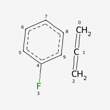 C=C=C.Fc1ccccc1